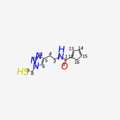 O=C(NCCc1cn(CS)nn1)C1=CC=CC1